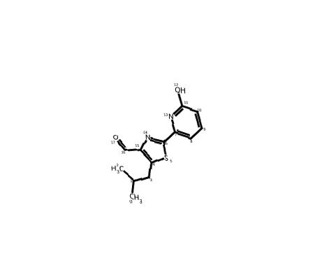 CC(C)Cc1sc(-c2cccc(O)n2)nc1C=O